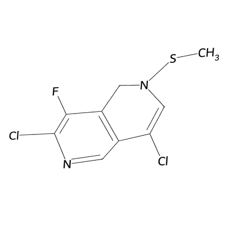 CSN1C=C(Cl)c2cnc(Cl)c(F)c2C1